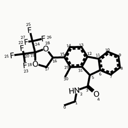 CCNC(=O)C1c2ccccc2-c2ccc(C3COC(C(F)(F)F)(C(F)(F)F)O3)c(C)c21